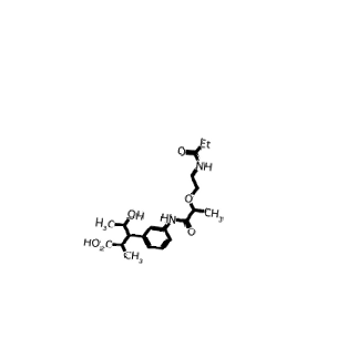 CCC(=O)NCCOC(C)C(=O)Nc1cccc(C(C(C)O)C(C)C(=O)O)c1